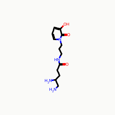 NCC(N)CCC(=O)NCCCn1cccc(O)c1=O